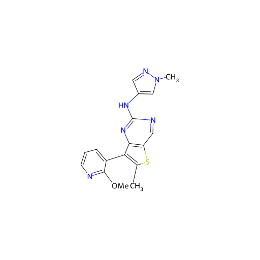 COc1ncccc1-c1c(C)sc2cnc(Nc3cnn(C)c3)nc12